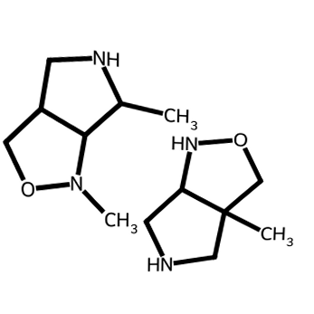 CC12CNCC1NOC2.CC1NCC2CON(C)C21